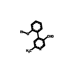 CCOc1ccccc1-c1cc(C)ncc1C=O